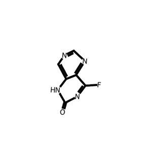 O=c1nc(F)c2ncncc2[nH]1